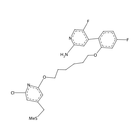 CSCc1cc(Cl)nc(OCCCCCCOc2cc(F)ccc2-c2cc(N)ncc2F)c1